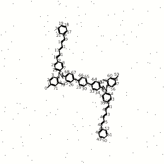 Cc1ccc(N(c2ccc(C=CC=CC=Cc3ccccc3)cc2)c2ccc(-c3ccc(-c4ccc(N(c5ccc(C=CC=CC=Cc6ccccc6)cc5)c5ccc(C)cc5C)cc4)cc3)cc2)c(C)c1